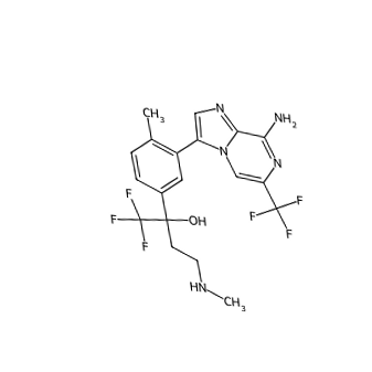 CNCCC(O)(c1ccc(C)c(-c2cnc3c(N)nc(C(F)(F)F)cn23)c1)C(F)(F)F